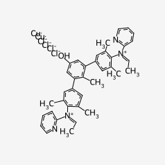 CC=[N+](c1ccccn1)c1c(C)cc(-c2cc(O)cc(-c3cc(C)c([N+](=CC)c4ccccn4)c(C)c3)c2C)cc1C.[Cl-].[Cl-].[Cl-].[Cl-].[Cu].[Cu]